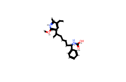 CCc1cc(C(C)CCCCC(NC(=O)O)c2ccccc2)c(OC)nc1C